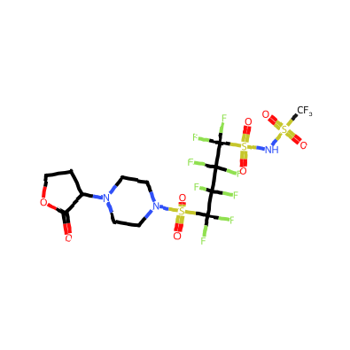 O=C1OCCC1N1CCN(S(=O)(=O)C(F)(F)C(F)(F)C(F)(F)C(F)(F)S(=O)(=O)NS(=O)(=O)C(F)(F)F)CC1